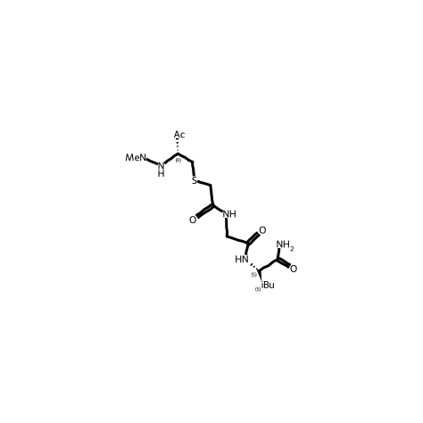 CC[C@H](C)[C@H](NC(=O)CNC(=O)CSC[C@H](NNC)C(C)=O)C(N)=O